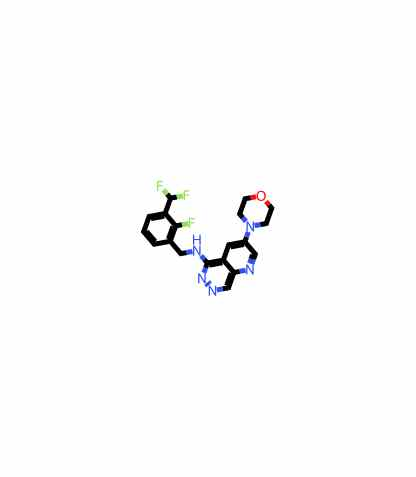 Fc1c(CNc2nncc3ncc(N4CCOCC4)cc23)cccc1C(F)F